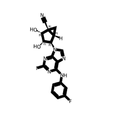 N#C[C@@]12C[C@@H]1[C@@H](n1cnc3c(Nc4cccc(F)c4)nc(I)nc31)[C@H](O)[C@@H]2O